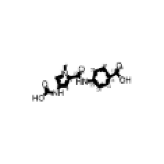 Cn1cc(NC(=O)O)cc1C(=O)Nc1ccc(C(=O)O)cc1